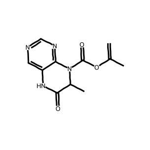 C=C(C)OC(=O)N1c2ncncc2NC(=O)C1C